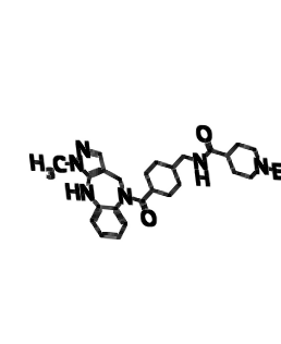 CCN1CCC(C(=O)NCC2CCC(C(=O)N3Cc4cnn(C)c4Nc4ccccc43)CC2)CC1